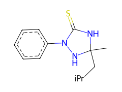 CC(C)CC1(C)NC(=S)N(c2ccccc2)N1